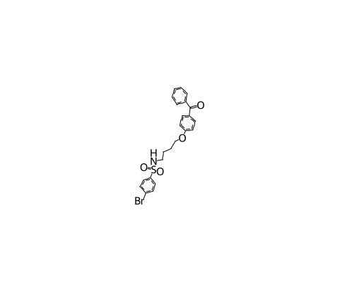 O=C(c1ccccc1)c1ccc(OCCCCNS(=O)(=O)c2ccc(Br)cc2)cc1